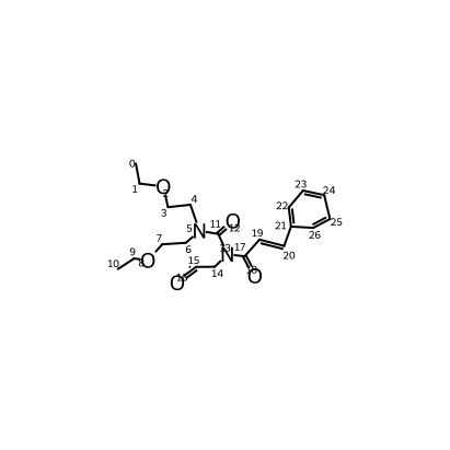 CCOCCN(CCOCC)C(=O)N(C[C]=O)C(=O)C=Cc1ccccc1